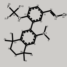 CN(C)c1cc2c(cc1-c1cc(C=NO)ccc1OC(F)(F)F)C(C)(C)CCC2(C)C